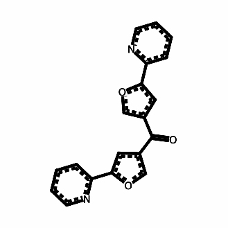 O=C(c1coc(-c2ccccn2)c1)c1coc(-c2ccccn2)c1